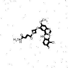 CNC(=O)C=CC(=O)N1CC(Oc2cc3c(Nc4ccc(F)c(Cl)c4F)ncnc3cc2OC)C1